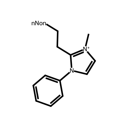 CCCCCCCCCCCc1n(-c2ccccc2)cc[n+]1C